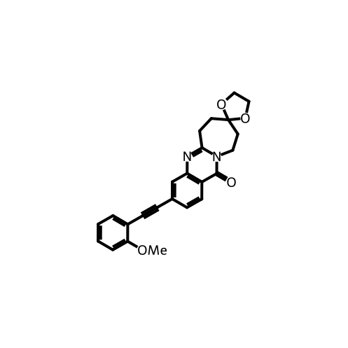 COc1ccccc1C#Cc1ccc2c(=O)n3c(nc2c1)CCC1(CC3)OCCO1